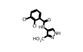 O=C(Nc1c[nH]nc1C(=O)O)c1cccc(Cl)c1Cl